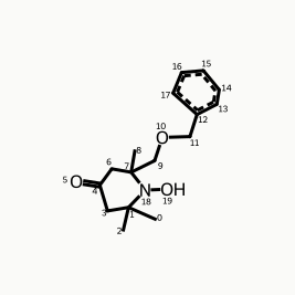 CC1(C)CC(=O)CC(C)(COCc2ccccc2)N1O